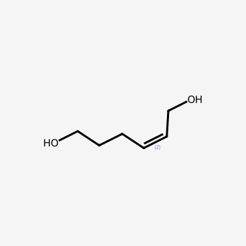 OC/C=C\CCCO